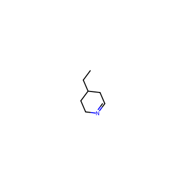 CCC1CC=NCC1